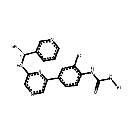 CCC[C@@H](Nc1cncc(-c2ccc(NC(=O)NCC)c(CC)c2)n1)c1cccnc1